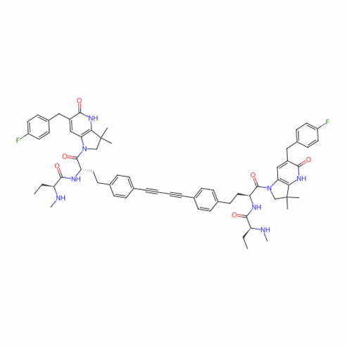 CC[C@H](NC)C(=O)N[C@@H](CCc1ccc(C#CC#Cc2ccc(CC[C@H](NC(=O)[C@H](CC)NC)C(=O)N3CC(C)(C)c4[nH]c(=O)c(Cc5ccc(F)cc5)cc43)cc2)cc1)C(=O)N1CC(C)(C)c2[nH]c(=O)c(Cc3ccc(F)cc3)cc21